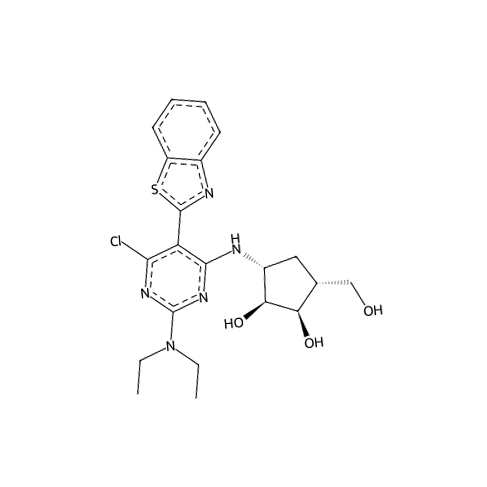 CCN(CC)c1nc(Cl)c(-c2nc3ccccc3s2)c(N[C@@H]2C[C@H](CO)[C@@H](O)[C@H]2O)n1